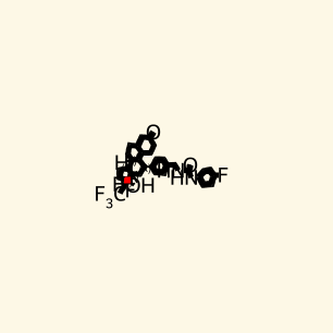 C[C@]12C[C@H](c3ccc(CNC(=O)Nc4ccc(F)cc4)cc3)C3=C4CCC(=O)C=C4CC[C@H]3[C@@H]1CC[C@@]2(O)C(F)(F)C(F)(F)F